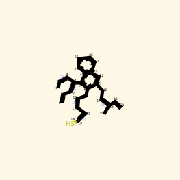 C=C/C=C(\C=C/C)c1c(C/C=C\C=C/S)c(C/C=C(/C)C=C)cc2ccccc12